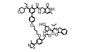 CCN(c1cc(-c2ccc(OCCCCOc3cc(-c4scnc4C)ccc3CNC(=O)[C@@H]3C[C@@H](O)CN3C(=O)[C@H](C(C)C)N3Cc4ccccc4C3=O)cc2)cc(C(=O)NCc2c(C)cc(C)[nH]c2=O)c1C)C1CCOCC1